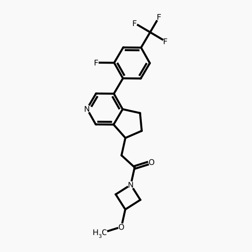 COC1CN(C(=O)CC2CCc3c(-c4ccc(C(F)(F)F)cc4F)cncc32)C1